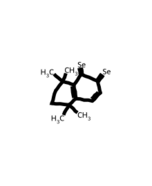 CC1(C)CCC(C)(C)C2=C1C=CC(=[Se])C2=[Se]